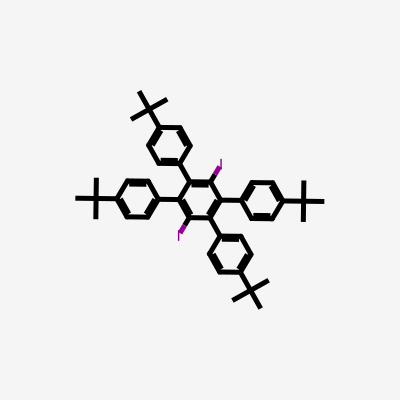 CC(C)(C)c1ccc(-c2c(I)c(-c3ccc(C(C)(C)C)cc3)c(-c3ccc(C(C)(C)C)cc3)c(I)c2-c2ccc(C(C)(C)C)cc2)cc1